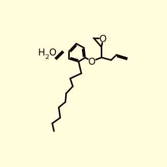 C=C.C=CCC(Oc1ccccc1CCCCCCCCC)C1CO1.O